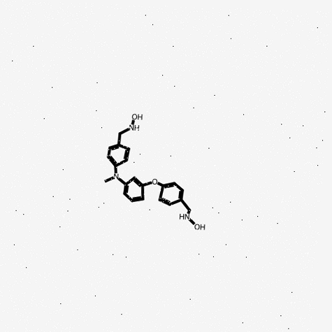 CN(c1ccc(CNO)cc1)c1cccc(Oc2ccc(CNO)cc2)c1